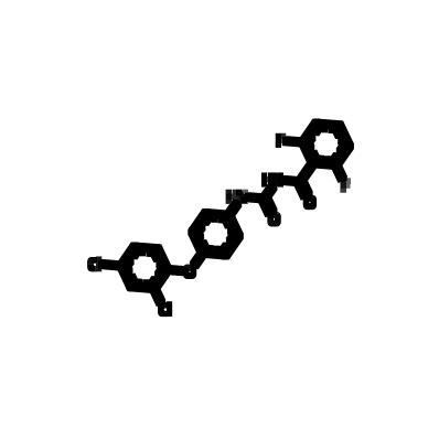 O=C(NC(=O)c1c(F)cccc1F)Nc1ccc(Oc2ccc(Cl)cc2Cl)cc1